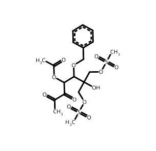 CC(=O)OC(C(=O)C(C)=O)C(OCc1ccccc1)C(O)(COS(C)(=O)=O)COS(C)(=O)=O